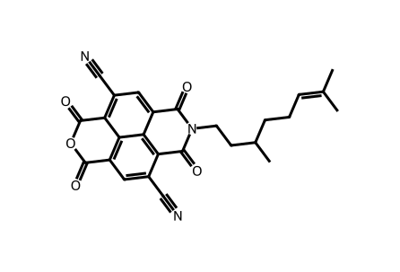 CC(C)=CCCC(C)CCN1C(=O)c2cc(C#N)c3c4c(cc(C#N)c(c24)C1=O)C(=O)OC3=O